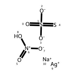 O=S([O-])([O-])=S.O=[N+]([O-])O.[Ag+].[Na+]